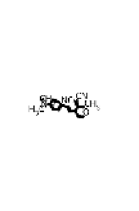 CC1OC=CC(C=Cc2ccc(N(C)C)cc2)C1=C(C#N)C#N